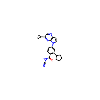 N#CNC(=O)c1ccc(-n2ccc3ncc(C4CC4)nc32)cc1C1CCCC1